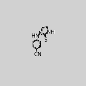 N#Cc1ccc(Nn2cc[nH]c2=S)cc1